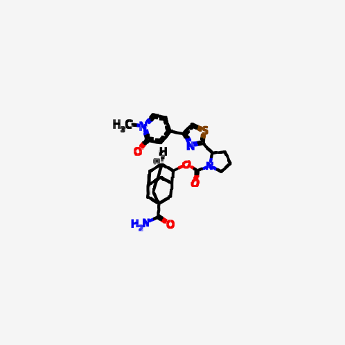 Cn1ccc(-c2csc(C3CCCN3C(=O)OC3C4CC5C[C@@H]3CC(C(N)=O)(C5)C4)n2)cc1=O